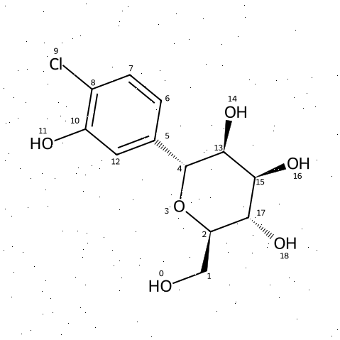 OC[C@H]1O[C@H](c2ccc(Cl)c(O)c2)[C@@H](O)[C@@H](O)[C@@H]1O